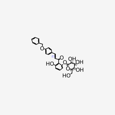 O=C(/C=C/c1ccc(OCc2ccccc2)cc1)c1c(O)cccc1O[C@@H]1O[C@H](CO)[C@@H](O)[C@H](O)[C@H]1O